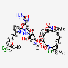 COc1cc2cc(c1Cl)N(C)C(=O)C[C@H](OC(=O)[C@H](C)N(C)C(=O)c1ccc(NC(=O)[C@H](CCCNC(N)=O)NC(=O)[C@@H](NC(=O)CCCCC(C)OC(C=O)(CBr)CBr)C(C)C)c(O)c1)[C@]1(C)O[C@H]1[C@H](C)[C@@H]1C[C@@](O)(NC(=O)O1)[C@H](OC)/C=C/C=C(\C)C2